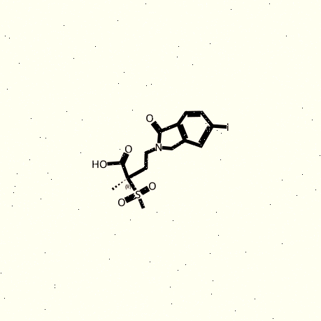 C[C@@](CCN1Cc2cc(I)ccc2C1=O)(C(=O)O)S(C)(=O)=O